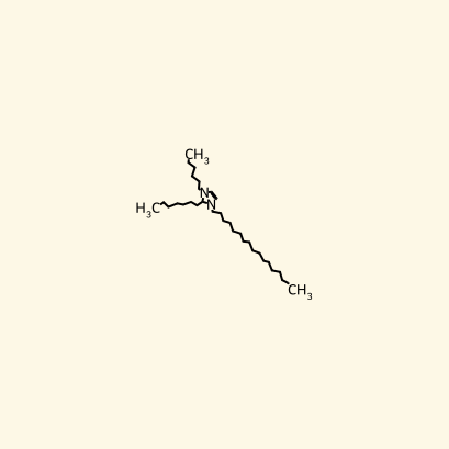 CCCCCCCCCCCCCCCCCN1C=CN(CCCCCC)C1CCCCCCC